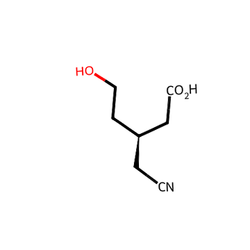 N#CC[C@@H](CCO)CC(=O)O